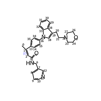 C/C(=C/C(=O)NCc1cccnc1)c1ccc(-n2cc(CCN3CCOCC3)c3ccccc32)cc1